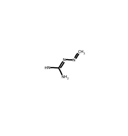 C=NN=C([NH])N